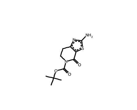 CC(C)(C)OC(=O)N1CCc2nc(N)sc2C1=O